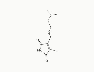 CC1=C(COCCC(C)C)C(=O)NC1=O